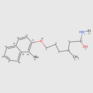 CCNC(O)CC(C)CCCOc1ccc2ccccc2c1C(C)(C)C